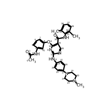 CC(=O)Nc1cccc(Oc2nc(Nc3ccc(N4CCN(C)CC4)cc3)ncc2C(=O)Nc2c(C)cccc2C)c1